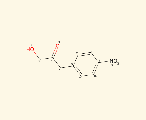 O=C(CO)Cc1ccc([N+](=O)[O-])cc1